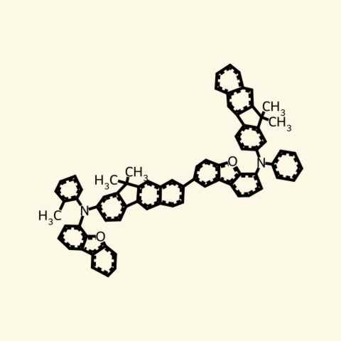 Cc1ccccc1N(c1ccc2c(c1)C(C)(C)c1cc3cc(-c4ccc5oc6c(N(c7ccccc7)c7ccc8c(c7)C(C)(C)c7cc9ccccc9cc7-8)cccc6c5c4)ccc3cc1-2)c1cccc2c1oc1ccccc12